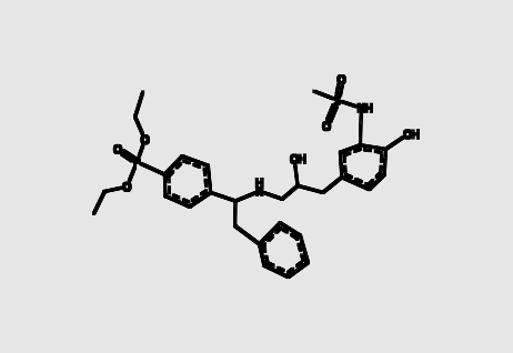 CCOP(=O)(OCC)c1ccc(C(Cc2ccccc2)NCC(O)Cc2ccc(O)c(NS(C)(=O)=O)c2)cc1